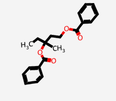 CCC(C)(CCOC(=O)c1ccccc1)OC(=O)c1ccccc1